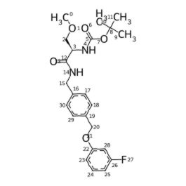 COC[C@@H](NC(=O)OC(C)(C)C)C(=O)NCc1ccc(COc2cccc(F)c2)cc1